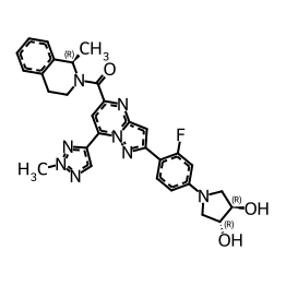 C[C@@H]1c2ccccc2CCN1C(=O)c1cc(-c2cnn(C)n2)n2nc(-c3ccc(N4C[C@@H](O)[C@H](O)C4)cc3F)cc2n1